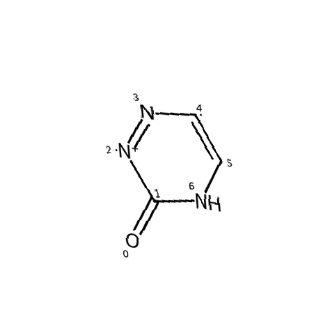 O=C1[N+]=N[C]=CN1